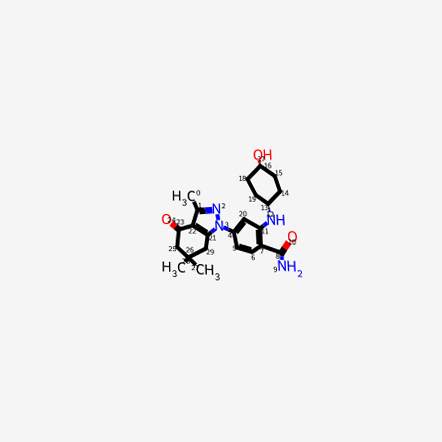 Cc1nn(-c2ccc(C(N)=O)c(N[C@H]3CC[C@H](O)CC3)c2)c2c1C(=O)CC(C)(C)C2